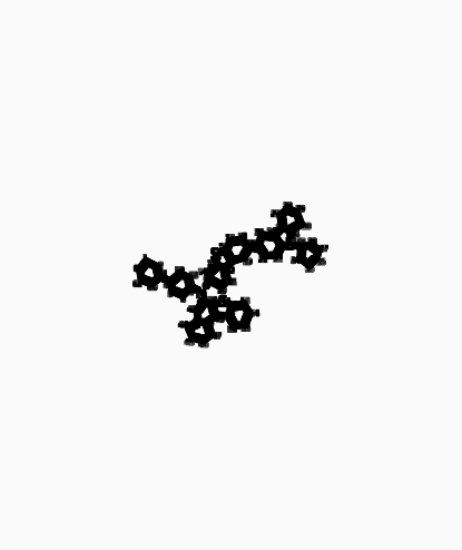 c1ccc(-c2ccc(N(c3ccc4c(c3)sc3ccc(-c5ccc6c(c5)c5ccccc5n6-c5ccccc5)cc34)c3cc4ccccc4c4c3sc3ccccc34)cc2)cc1